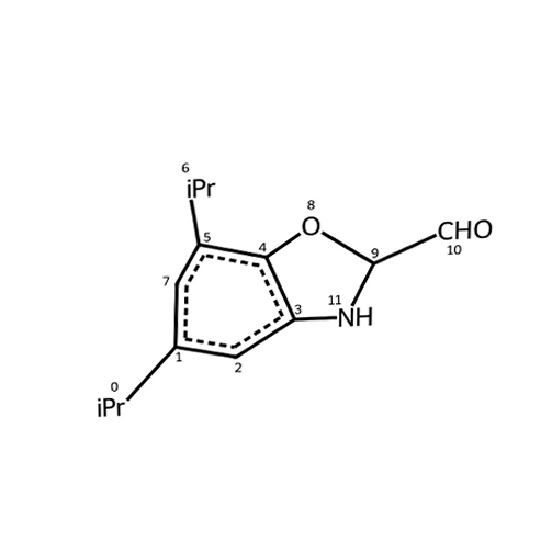 CC(C)c1cc2c(c(C(C)C)c1)OC(C=O)N2